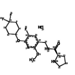 COc1nc(OC2CCC(F)(F)CC2)c(F)cc1CNC(=O)[C@H]1CCCN1.Cl